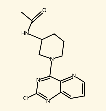 CC(=O)NC1CCCN(c2nc(Cl)nc3cccnc23)C1